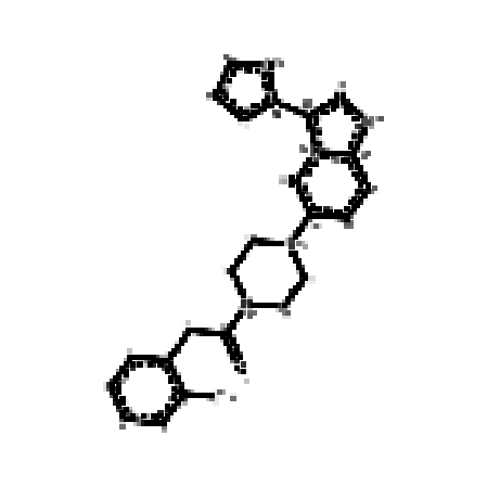 O=C(Cc1ccccc1F)N1CCN(c2ccc3nnc(-c4ccco4)n3n2)CC1